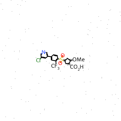 CO[C@@H]1C[C@H](S(=O)(=O)c2ccc(-c3cncc(Cl)c3)cc2C(F)(F)F)C[C@H]1C(=O)O